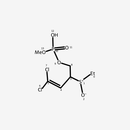 CC[S+]([O-])C(C=C(Cl)Cl)COP(=O)(O)OC